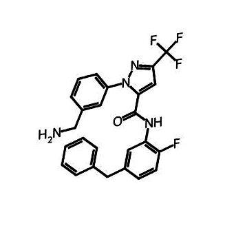 NCc1cccc(-n2nc(C(F)(F)F)cc2C(=O)Nc2cc(Cc3ccccc3)ccc2F)c1